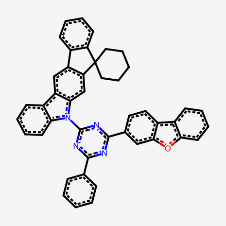 c1ccc(-c2nc(-c3ccc4c(c3)oc3ccccc34)nc(-n3c4ccccc4c4cc5c(cc43)C3(CCCCC3)c3ccccc3-5)n2)cc1